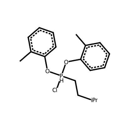 Cc1ccccc1O[PH](Cl)(CCC(C)C)Oc1ccccc1C